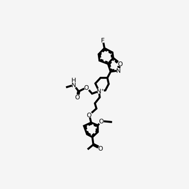 CNC(=O)OC[N+]1(CCCOc2ccc(C(C)=O)cc2OC)CCC(c2noc3cc(F)ccc23)CC1